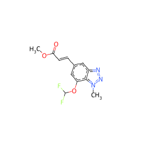 COC(=O)/C=C/c1cc(OC(F)F)c2c(c1)nnn2C